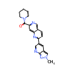 Cn1cc2cc(-c3ccc4cnc(C(=O)N5CCCCC5)cc4n3)cnc2n1